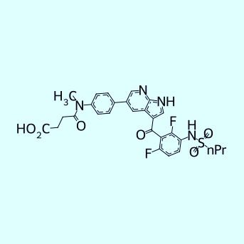 CCCS(=O)(=O)Nc1ccc(F)c(C(=O)c2c[nH]c3ncc(-c4ccc(N(C)C(=O)CCC(=O)O)cc4)cc23)c1F